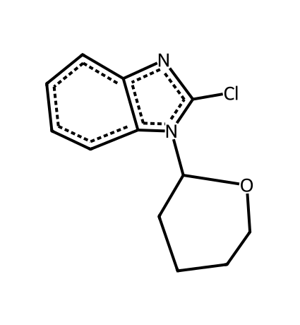 Clc1nc2ccccc2n1C1CCCCO1